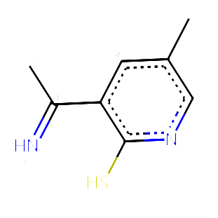 CC(=N)c1cc(C)cnc1S